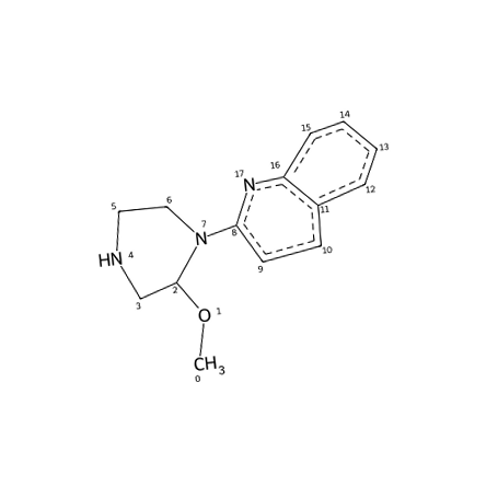 COC1CNCCN1c1ccc2ccccc2n1